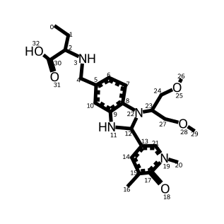 CCC(NCc1ccc2c(c1)NC(c1cc(C)c(=O)n(C)c1)N2C(COC)COC)C(=O)O